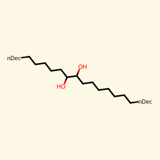 CCCCCCCCCCCCCCCCCC(O)C(O)CCCCCCCCCCCCCCC